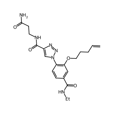 C=CCCCOc1cc(C(=O)NCC)ccc1-n1cc(C(=O)NCCC(N)=O)nn1